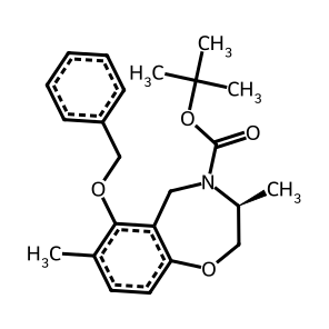 Cc1ccc2c(c1OCc1ccccc1)CN(C(=O)OC(C)(C)C)[C@@H](C)CO2